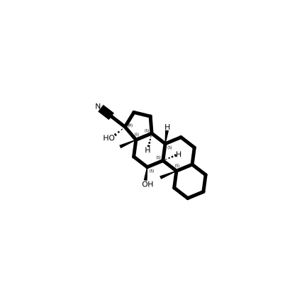 C[C@]12CCCCC1CC[C@@H]1[C@@H]2[C@@H](O)C[C@@]2(C)[C@H]1CC[C@]2(O)C#N